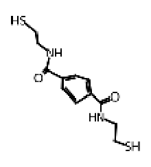 O=C(NCCS)c1ccc(C(=O)NCCS)cc1